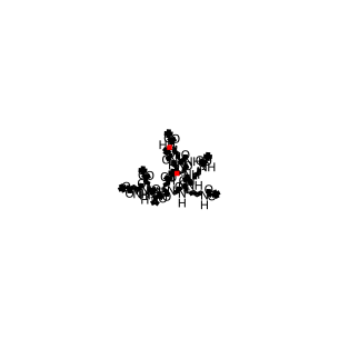 CC(C)[C@H](NC(=O)[C@H](CCC(=O)OC(C)(C)C)NC(=O)[C@@H](N)CC(=O)OC(C)(C)C)C(=O)N[C@@H](CCC(=O)OC(C)(C)C)C(=O)NCC(=O)N[C@@H](CCCCNC(=O)OC(C)(C)C)C(=O)N[C@@H](CCCCNC(=O)OC(C)(C)C)C(=O)N[C@@H](CCCCNC(=O)OC(C)(C)C)C(=O)N[C@@H](CCCCNC(=O)OC(C)(C)C)C(N)=O